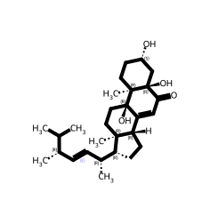 CC(C)[C@@H](C)/C=C/[C@@H](C)[C@H]1CC[C@H]2C3=CC(=O)[C@@]4(O)C[C@@H](O)CC[C@]4(C)[C@@]3(O)CC[C@]12C